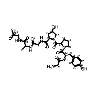 CC(NC(=O)CNC(=O)C1CC(O)CN1C(=O)C1CCCN1C(=O)[C@@H](Cc1ccc(O)cc1)NC(=O)CN)C(=O)NCC(N)=O